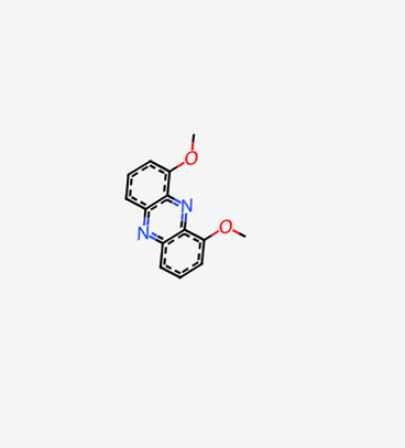 COc1cccc2nc3cccc(OC)c3nc12